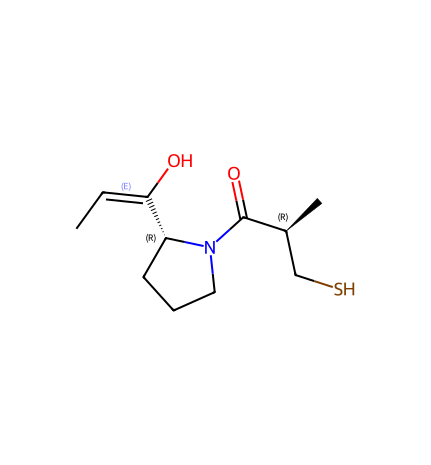 C/C=C(/O)[C@H]1CCCN1C(=O)[C@@H](C)CS